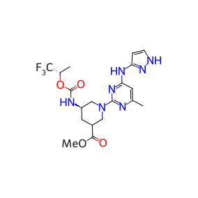 COC(=O)C1C[C@@H](NC(=O)O[C@@H](C)C(F)(F)F)CN(c2nc(C)cc(Nc3cc[nH]n3)n2)C1